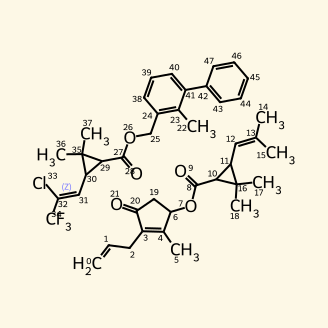 C=CCC1=C(C)C(OC(=O)C2C(C=C(C)C)C2(C)C)CC1=O.Cc1c(COC(=O)C2C(/C=C(\Cl)C(F)(F)F)C2(C)C)cccc1-c1ccccc1